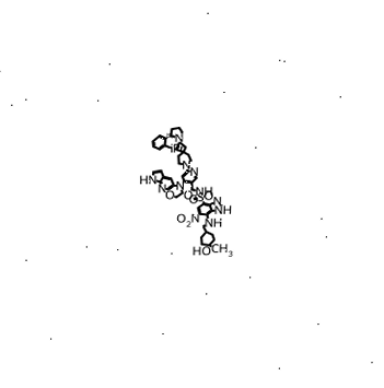 CC(C)c1ccccc1[C@@H]1CCCN1C1CC2(CCN(c3cc(N4CCOc5nc6[nH]ccc6cc54)c(C(=O)NS(=O)(=O)c4cc([N+](=O)[O-])c(NCC5CCC(C)(O)CC5)c5[nH]cnc45)cn3)CC2)C1